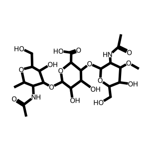 COC1C(O)C(CO)OC(OC2C(C(=O)O)OC(OC3C(O)C(CO)OC(C)C3NC(C)=O)C(O)C2O)C1NC(C)=O